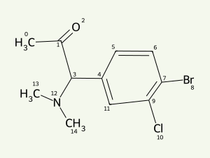 CC(=O)C(c1ccc(Br)c(Cl)c1)N(C)C